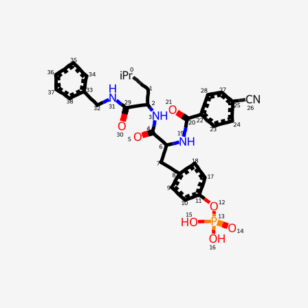 CC(C)CC(NC(=O)C(Cc1ccc(OP(=O)(O)O)cc1)NC(=O)c1ccc(C#N)cc1)C(=O)NCc1ccccc1